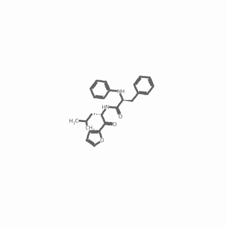 CC(C)C[C@H](NC(=O)[C@H](Cc1ccccc1)Nc1ccccc1)C(=O)c1ccco1